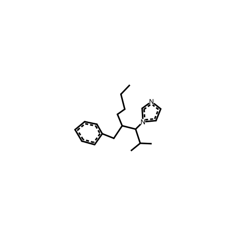 CCCCC(Cc1ccccc1)C(C(C)C)n1ccnc1